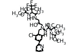 COC(=O)NC(C(=O)NC[C@@H](O)CN(Cc1c(F)cc(-c2ccccn2)cc1Cl)NC(=O)[C@@H](NC(=O)OC)C(C)(C)C)C(C)(C)C(F)(F)F